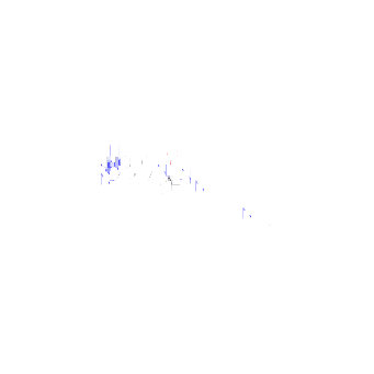 NCCCC1CCN(C=NC2C(=O)N3C(C(=O)O)=C(CSc4cnn[nH]4)CS[C@@H]23)CC1